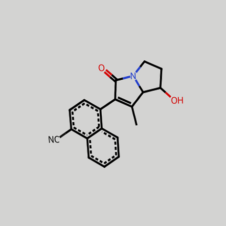 CC1=C(c2ccc(C#N)c3ccccc23)C(=O)N2CCC(O)C12